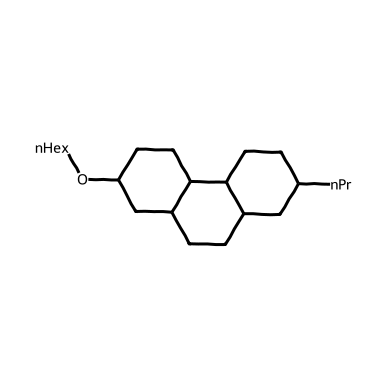 CCCCCCOC1CCC2C(CCC3CC(CCC)CCC32)C1